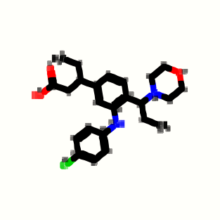 CCC(CC(=O)O)c1ccc(C(CC)N2CCOCC2)c(Nc2ccc(Cl)cc2)c1